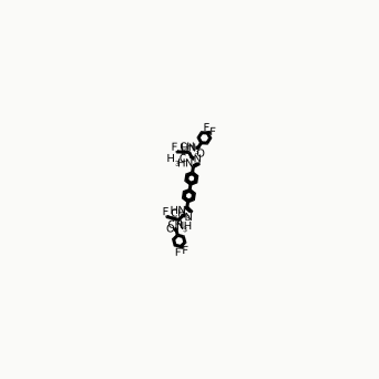 CC(C)(CF)C(NC(=O)C1CCC(F)(F)CC1)c1ncc(-c2ccc(-c3ccc(-c4cnc([C@@H](NC(=O)C5CCC(F)(F)CC5)C(C)(C)CF)[nH]4)cc3)cc2)[nH]1